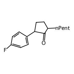 CCCCCC1CCC(c2ccc(F)cc2)C1=O